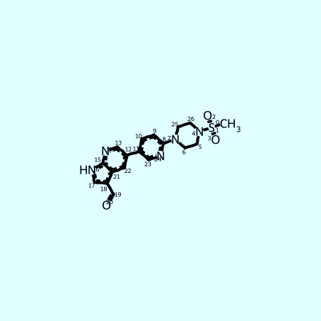 CS(=O)(=O)N1CCN(c2ccc(-c3cnc4[nH]cc(C=O)c4c3)cn2)CC1